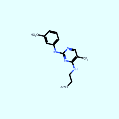 CC(=O)NCCNc1nc(Nc2cccc(C(=O)O)c2)ncc1C(F)(F)F